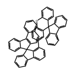 c1ccc2c(c1)Oc1ccc(-c3cccc4c3C3(c5ccccc5-4)c4ccccc4-c4c3ccc3ccccc43)cc1C21c2ccccc2-c2ccccc21